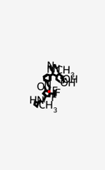 Cn1cnnc1C(c1cccc(N2Cc3c(cc(CNC4(C)CCC4)cc3C(F)(F)F)C2=O)c1)C1CCS(O)(O)CC1